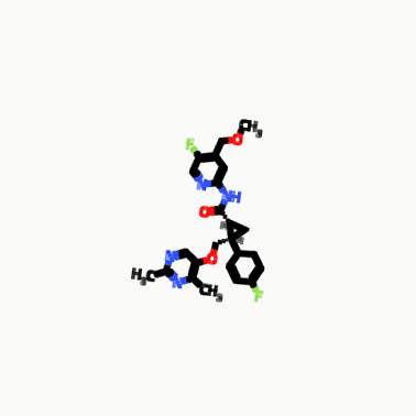 COCc1cc(NC(=O)[C@@H]2C[C@@]2(COc2cnc(C)nc2C)C2C=CC(F)=CC2)ncc1F